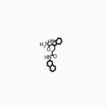 NC(=O)c1[nH]c2ccccc2c1C[CH]C(=O)Nc1ccc2ccccc2c1